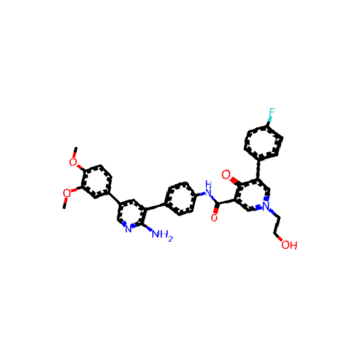 COc1ccc(-c2cnc(N)c(-c3ccc(NC(=O)c4cn(CCO)cc(-c5ccc(F)cc5)c4=O)cc3)c2)cc1OC